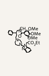 CCOC(=O)Cn1c(N2CCCN(CCC(CN(C)C(=O)c3cc(OC)c(OC)c(OC)c3)c3ccccc3)CC2)nc2ccccc21